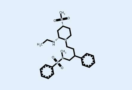 CCN[C@@H]1C[C@H](S(C)(=O)=O)CCN1CCC(CN(C)S(=O)(=O)c1ccccc1)c1ccccc1